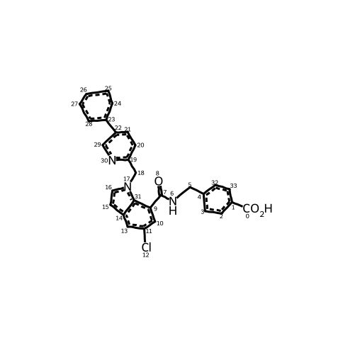 O=C(O)c1ccc(CNC(=O)c2cc(Cl)cc3ccn(Cc4ccc(-c5ccccc5)cn4)c23)cc1